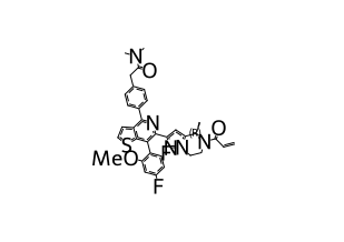 C=CC(=O)N1CCn2nc(-c3nc(-c4ccc(CC(=O)N(C)C)cc4)c4ccsc4c3-c3c(F)cc(F)cc3OC)cc2[C@H]1C